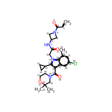 C=CC(=O)N1CC(NC(=O)Cn2c(C3CC3)c(C(=O)N3CCOC(C)(C)C3)c3cc(Cl)cc(C)c32)C1